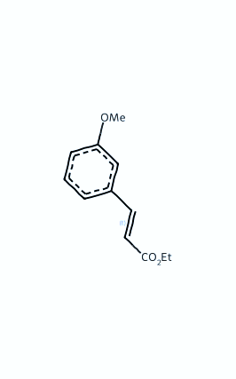 CCOC(=O)/C=C/c1cccc(OC)c1